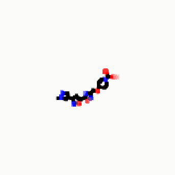 Cn1cc(-c2cc(-c3nc(COC4CCN(C(=O)O)CC4)no3)on2)cn1